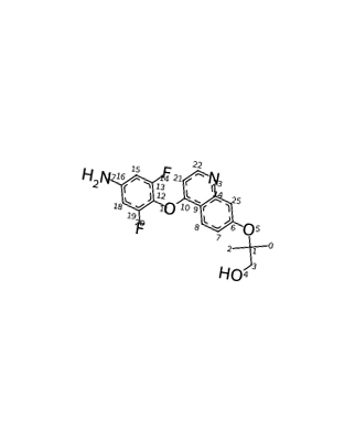 CC(C)(CO)Oc1ccc2c(Oc3c(F)cc(N)cc3F)ccnc2c1